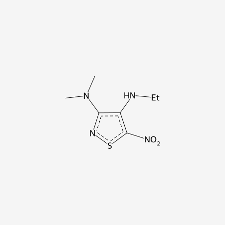 CCNc1c(N(C)C)nsc1[N+](=O)[O-]